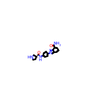 NC(=O)c1cccc2cn(-c3ccc(NC(=O)[C@H]4CCNC4)cc3)nc12